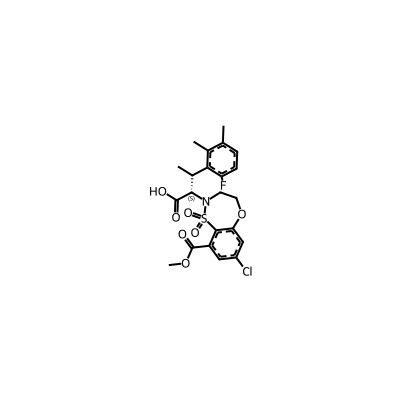 COC(=O)c1cc(Cl)cc2c1S(=O)(=O)N([C@H](C(=O)O)C(C)c1c(F)ccc(C)c1C)CCO2